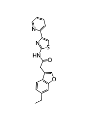 CCc1ccc2c(CC(=O)Nc3nc(-c4ccccn4)cs3)coc2c1